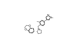 Cc1cc(-c2cnn(C)c2)ccc1CN1CCC[C@@H]1c1ccc2c(c1)OCCO2